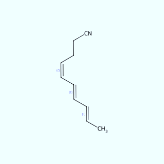 C/C=C/C=C/C=C\CCC#N